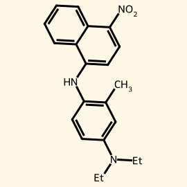 CCN(CC)c1ccc(Nc2ccc([N+](=O)[O-])c3ccccc23)c(C)c1